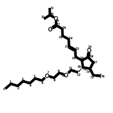 CCCCCCCOCCOCC[C@H]1C(CI)CC(=O)C1CC=CCCCC(=O)OC(C)C